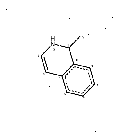 CC1NC=Cc2c[c]ccc21